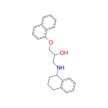 OC(CNC1CCCc2ccccc21)COc1cccc2ccccc12